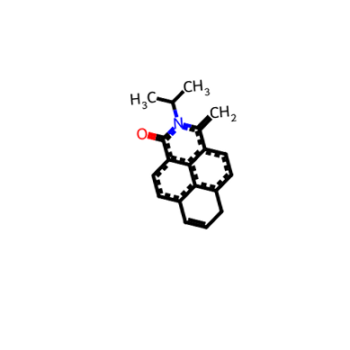 C=c1c2ccc3c4c(ccc(c(=O)n1C(C)C)c42)C=CC3